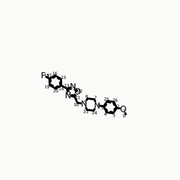 COc1ccc(N2CCN(Cc3nc(-c4ccc(F)cc4)no3)CC2)cc1